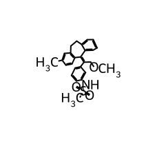 COCC(=C1c2ccccc2CCc2cc(C)ccc21)c1cccc(NS(C)(=O)=O)c1